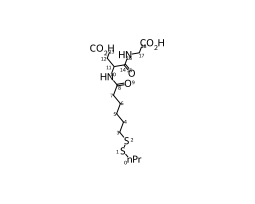 CCCSSCCCCCC(=O)NC(CC(=O)O)C(=O)NCC(=O)O